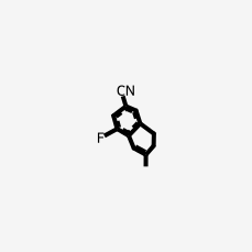 CC1=Cc2c(F)cc(C#N)cc2CC1